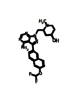 CN1CCC(O)CC1Cn1nc(-c2ccc3cc(OC(F)F)ccc3c2)c2c(N)ncnc21